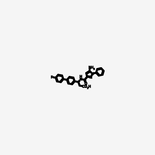 Nc1cc(C(=O)NC(CC(=O)O)c2ccc(-c3ccc(F)cc3)cc2)nn1-c1ccccc1